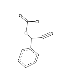 N#CC(OC(=O)Cl)c1ccccc1